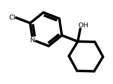 OC1(c2ccc(Cl)nc2)CCCCC1